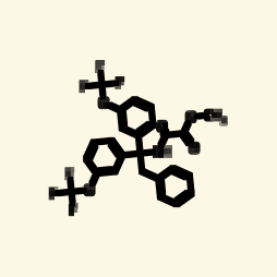 COC(=O)C(=O)NC(Cc1ccccc1)(c1cccc(OC(F)(F)F)c1)c1cccc(OC(F)(F)F)c1